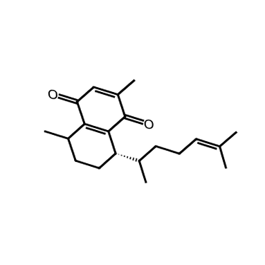 CC(C)=CCCC(C)[C@@H]1CCC(C)C2=C1C(=O)C(C)=CC2=O